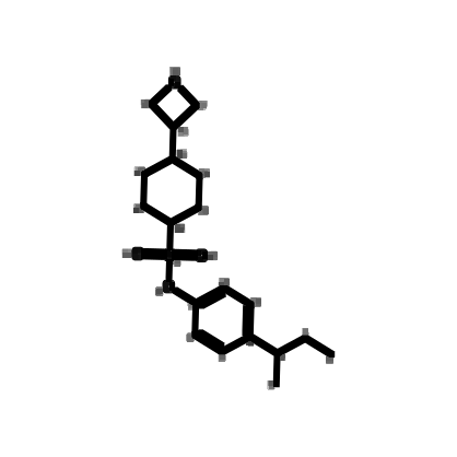 CCC(C)c1ccc(OS(=O)(=O)C2CCC(C3COC3)CC2)cc1